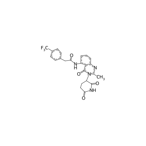 Cc1nc2cccc(NC(=O)Cc3ccc(C(F)(F)F)cc3)c2c(=O)n1C1CCC(=O)NC1=O